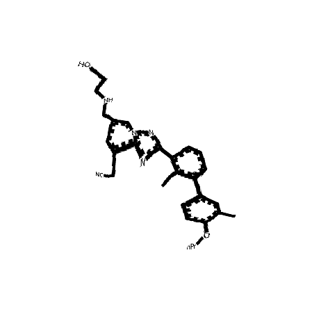 CCCOc1ccc(-c2cccc(-c3nc4c(CC#N)cc(CNCCO)cn4n3)c2C)cc1C